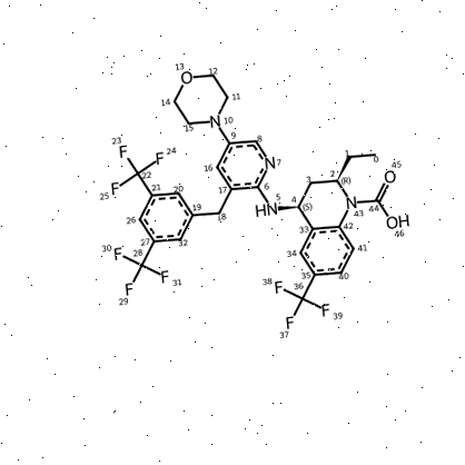 CC[C@@H]1C[C@H](Nc2ncc(N3CCOCC3)cc2Cc2cc(C(F)(F)F)cc(C(F)(F)F)c2)c2cc(C(F)(F)F)ccc2N1C(=O)O